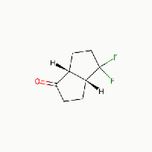 O=C1CC[C@@H]2[C@H]1CCC2(F)F